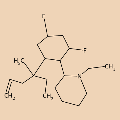 C=CCC(C)(CC)C1CC(F)CC(F)C1C1CCCCN1CC